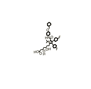 CC(C)n1c(CC[C@@H](O)C[C@@H](O)CC(=O)O)c(-c2ccc(F)cc2)c(-c2ccc(F)cc2)c1C(=O)Nc1ccc(OCc2ccccc2)cc1